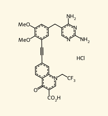 COc1cc(Cc2cnc(N)nc2N)cc(C#Cc2ccc3c(=O)c(C(=O)O)cn(CC(F)(F)F)c3c2)c1OC.Cl